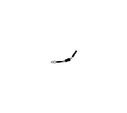 CP=BO